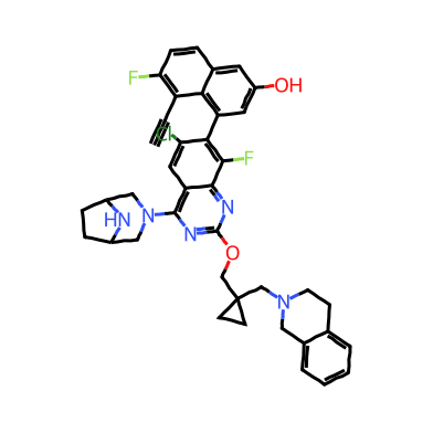 C#Cc1c(F)ccc2cc(O)cc(-c3c(Cl)cc4c(N5CC6CCC(C5)N6)nc(OCC5(CN6CCc7ccccc7C6)CC5)nc4c3F)c12